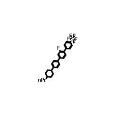 CCCC1CCC(c2ccc(-c3ccc(-c4ccc(S(F)(F)(F)(F)F)cc4)c(F)c3)cc2)CC1